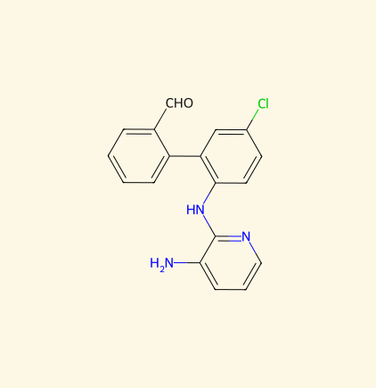 Nc1cccnc1Nc1ccc(Cl)cc1-c1ccccc1C=O